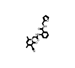 Cc1cc(C)n(CC(=O)Nc2ccccc2C(=O)NCc2ccco2)c(=O)c1C#N